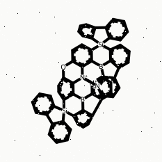 c1ccc2c(c1)-c1ccccc1[Si]21c2cccc3c2B2c4c1ccc1c4[N+]4(c5c(ccc6c5B5c7c(cccc7[Si]67c6ccccc6-c6ccccc67)-c6ccc[n+]4c65)O1)[n+]1cccc-3c12